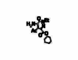 CCn1nc(C(=O)OC2CCCCC2)c(C(C)=O)c(N)c1=O